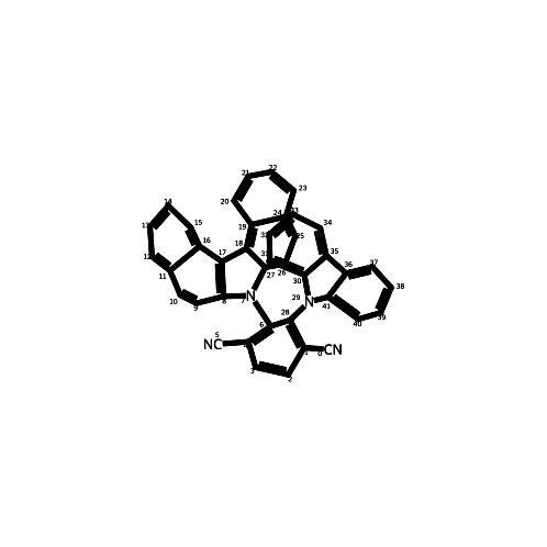 N#Cc1ccc(C#N)c(-n2c3ccc4ccccc4c3c3c4ccccc4ccc32)c1-n1c2ccccc2c2ccccc21